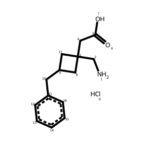 Cl.NCC1(CC(=O)O)CC(Cc2ccccc2)C1